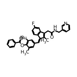 CCC(C)c1cc(/C=C2/C(C)=C(CC(=O)NCc3cccnc3)c3cc(F)ccc32)cc(C)c1OC(=O)c1ccccc1